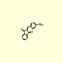 CC(C)(C)c1ccc(C=C2C(=O)c3ccccc3C2=O)cc1